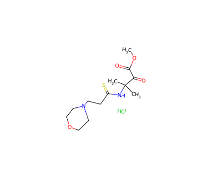 COC(=O)C(=O)C(C)(C)NC(=S)CCN1CCOCC1.Cl